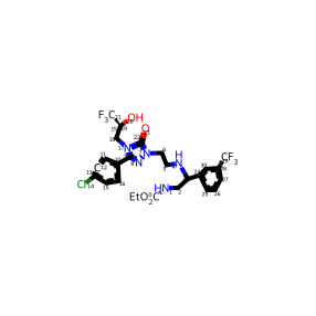 CCOC(=O)NCC(NCCn1nc(-c2ccc(Cl)cc2)n(C[C@H](O)C(F)(F)F)c1=O)c1cccc(C(F)(F)F)c1